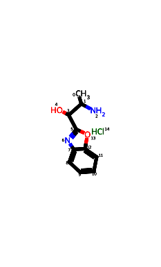 CC(N)C(O)c1nc2ccccc2o1.Cl